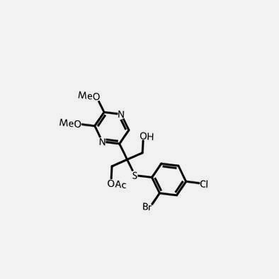 COc1ncc(C(CO)(COC(C)=O)Sc2ccc(Cl)cc2Br)nc1OC